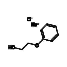 OCCOc1ccccc1.[Cl-].[Na+]